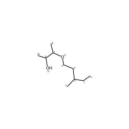 CCC(C)CCOC(C)C(C)O